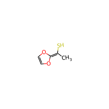 CC(S)=C1OC=CO1